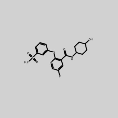 CS(=O)(=O)c1cccc(Oc2ncc(F)cc2C(=O)NC2CCC(O)CC2)c1